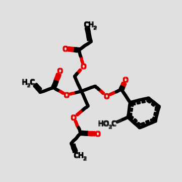 C=CC(=O)OCC(COC(=O)C=C)(COC(=O)c1ccccc1C(=O)O)OC(=O)C=C